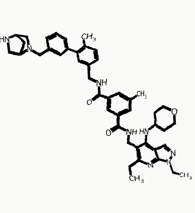 CCc1nc2c(cnn2CC)c(NC2CCOCC2)c1CNC(=O)c1cc(C)cc(C(=O)NCc2ccc(C)c(-c3cccc(CN4CC5CC4CN5)c3)c2)c1